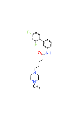 CN1CCN(CCCCC(=O)Nc2cccc(-c3ccc(F)cc3F)c2)CC1